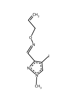 C=CCO/N=C/c1nn(C)cc1I